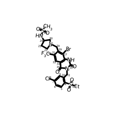 CCS(=O)(=O)c1ccc(Cl)cc1Cn1c(=O)[nH]c2c(Br)c(CN3CCC(NS(C)(=O)=O)C3)c(C(F)(F)F)cc2c1=O